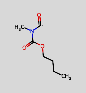 CCCCOC(=O)N(C)[C]=O